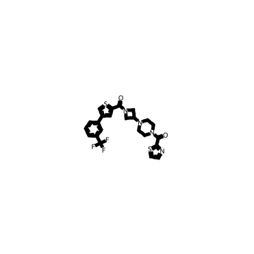 O=C(c1cc(-c2cccc(C(F)(F)F)c2)cs1)N1CC(N2CCN(C(=O)c3nccs3)CC2)C1